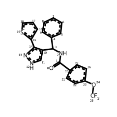 O=C(NC(c1ccccc1)c1c[nH]nc1-c1cccs1)c1ccc(OC(F)(F)F)cc1